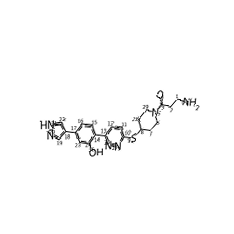 NCCC(=O)N1CCC(Sc2ccc(-c3ccc(-c4cn[nH]c4)cc3O)nn2)CC1